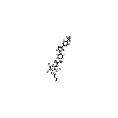 CCCCO[C@@H]1[C@@H](OC)[C@H](C)O[C@@H](OC(=O)Nc2ccc(-n3cnc(-c4ccc(C(F)(F)F)cc4)n3)cc2)[C@@H]1OC